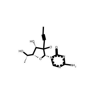 CC#CC1(Cl)[C@@H](O)[C@@H]([C@H](C)O)O[C@H]1n1cnc(N)nc1=O